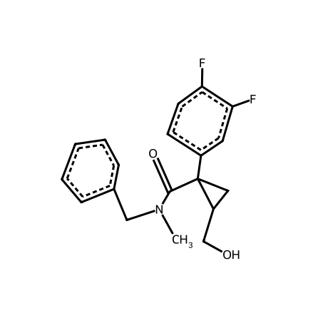 CN(Cc1ccccc1)C(=O)C1(c2ccc(F)c(F)c2)CC1CO